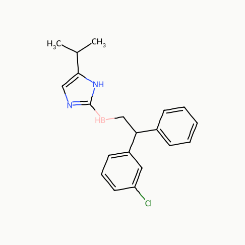 CC(C)c1cnc(BCC(c2ccccc2)c2cccc(Cl)c2)[nH]1